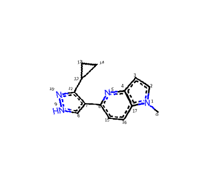 Cn1ccc2nc(-c3c[nH]nc3C3CC3)ccc21